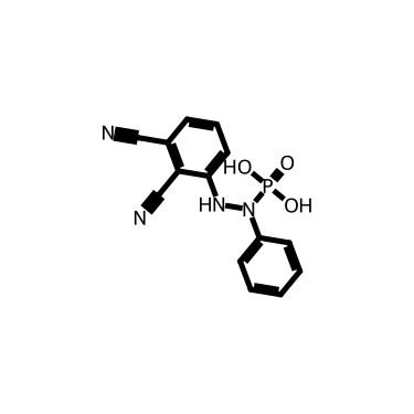 N#Cc1cccc(NN(c2ccccc2)P(=O)(O)O)c1C#N